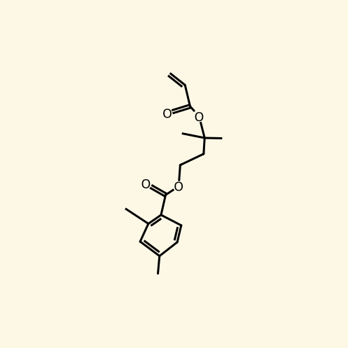 C=CC(=O)OC(C)(C)CCOC(=O)c1ccc(C)cc1C